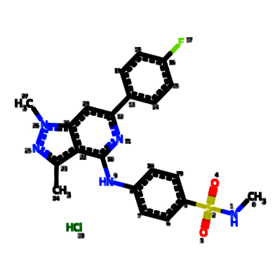 CNS(=O)(=O)c1ccc(Nc2nc(-c3ccc(F)cc3)cc3c2c(C)nn3C)cc1.Cl